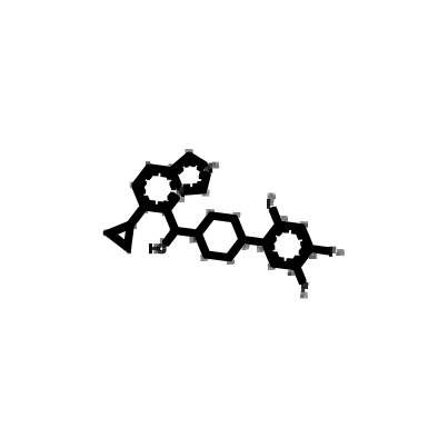 OC(c1c(C2CC2)ccc2cncn12)C1CCC(c2cc(F)c(F)cc2F)CC1